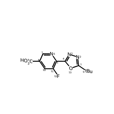 CC(C)(C)c1nnc(-c2ncc(C(=O)O)cc2F)o1